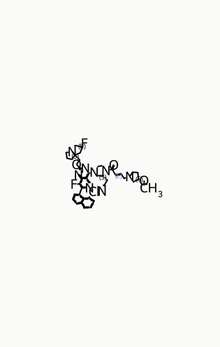 CO[C@H]1CCN(C/C=C/C(=O)N2CCN(c3nc(OC[C@@]45CCCN4C[C@H](F)C5)nc4c(F)c(-c5cccc6cccc(Cl)c56)ncc34)C[C@@H]2CC#N)C1